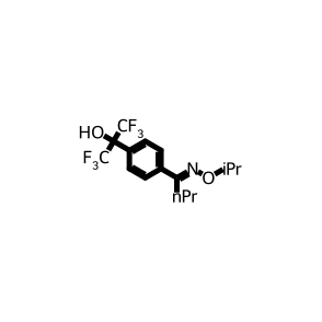 CCCC(=NOC(C)C)c1ccc(C(O)(C(F)(F)F)C(F)(F)F)cc1